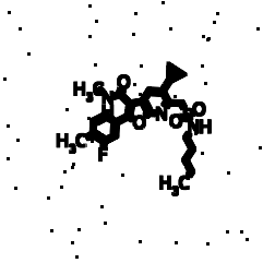 CCCCCNS(=O)(=O)Cc1nc2oc(-c3ccc(C)c(F)c3)c(C(=O)NC)c2cc1C1CC1